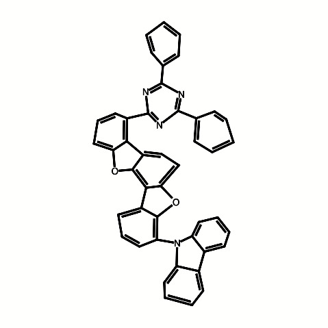 c1ccc(-c2nc(-c3ccccc3)nc(-c3cccc4oc5c(ccc6oc7c(-n8c9ccccc9c9ccccc98)cccc7c65)c34)n2)cc1